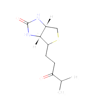 CC(C)C(=O)CCC1SC[C@H]2NC(=O)N[C@@H]12